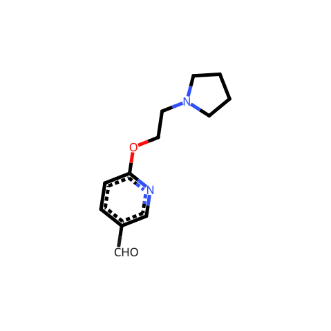 O=Cc1ccc(OCCN2CCCC2)nc1